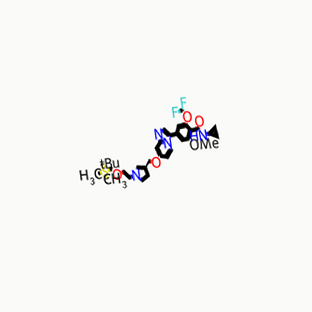 COc1cc(-c2cnc3cc(OC[C@H]4CCN(CCOCS(C)(C)C(C)(C)C)C4)ccn23)cc(OC(F)F)c1C(=O)NC1CC1